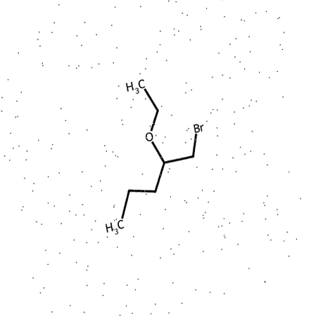 CCCC(CBr)OCC